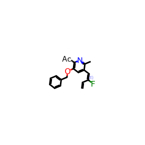 C=C/C(F)=C\c1cc(OCc2ccccc2)c(C(C)=O)nc1C